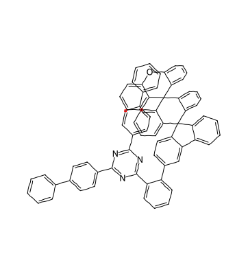 c1ccc(-c2ccc(-c3nc(-c4ccc(-c5ccccc5)cc4)nc(-c4ccccc4-c4ccc5c(c4)-c4ccccc4C54c5ccccc5C5(c6ccccc6Oc6ccccc65)c5ccccc54)n3)cc2)cc1